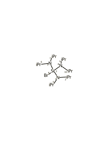 CC(C)N(C(C)C)[Si](Br)(N(C(C)C)C(C)C)N(C(C)C)C(C)C